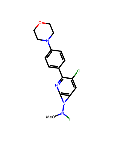 CON(F)N1c2cc(Cl)c(-c3ccc(N4CCOCC4)cc3)nc21